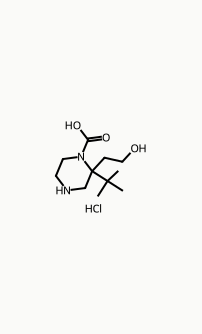 CC(C)(C)C1(CCO)CNCCN1C(=O)O.Cl